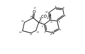 O=C(O)C1(c2cncc3ccccc23)CCCCC1=O